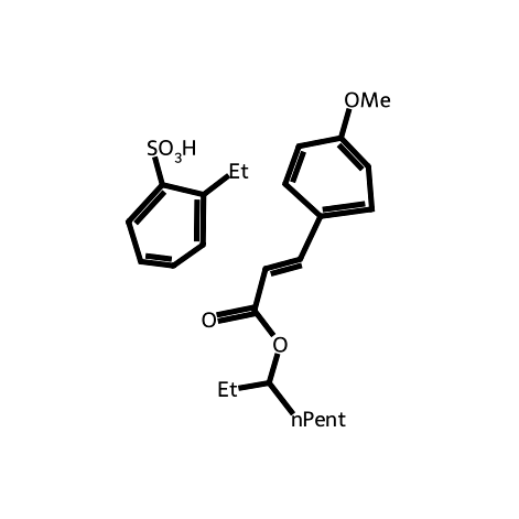 CCCCCC(CC)OC(=O)C=Cc1ccc(OC)cc1.CCc1ccccc1S(=O)(=O)O